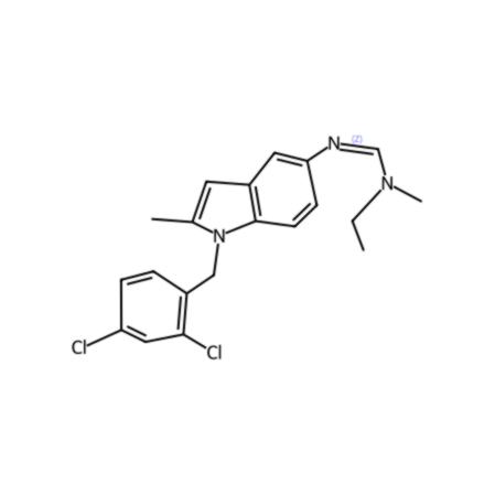 CCN(C)/C=N\c1ccc2c(c1)cc(C)n2Cc1ccc(Cl)cc1Cl